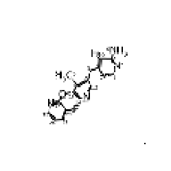 Cc1c(Cc2ccnc(N)c2F)cncc1Oc1ncccc1F